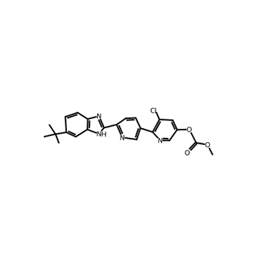 COC(=O)Oc1cnc(-c2ccc(-c3nc4ccc(C(C)(C)C)cc4[nH]3)nc2)c(Cl)c1